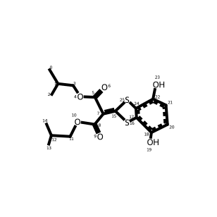 CC(C)COC(=O)C(C(=O)OCC(C)C)=C1Sc2c(O)ccc(O)c2S1